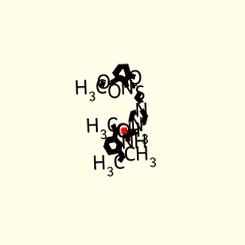 COC(=O)c1cccc2oc(SCCN3CCN(CC(=O)Nc4c(C(C)C)cccc4C(C)C)CC3)nc12